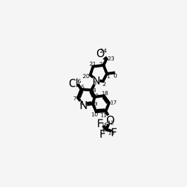 CC1CN(c2c(Cl)cnc3cc(OC(F)(F)F)ccc23)CCC1C=O